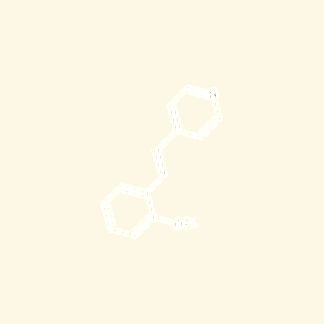 CC(=O)Oc1ccccc1/C=C/c1ccncc1